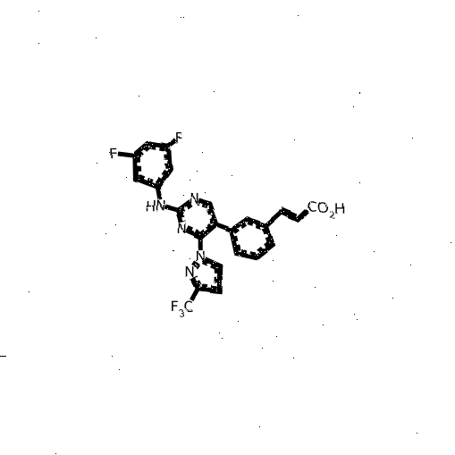 O=C(O)C=Cc1cccc(-c2cnc(Nc3cc(F)cc(F)c3)nc2-n2ccc(C(F)(F)F)n2)c1